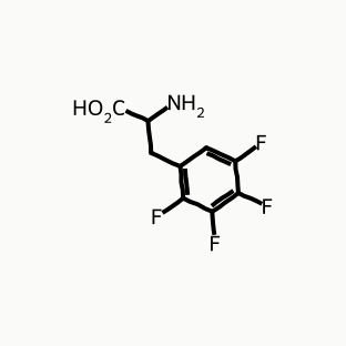 NC(Cc1cc(F)c(F)c(F)c1F)C(=O)O